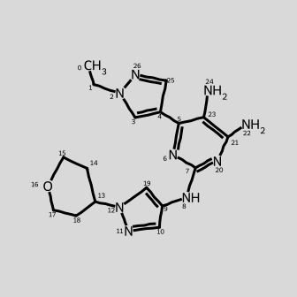 CCn1cc(-c2nc(Nc3cnn(C4CCOCC4)c3)nc(N)c2N)cn1